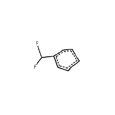 F[C](F)c1ccccc1